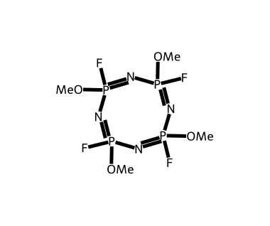 COP1(F)=NP(F)(OC)=NP(F)(OC)=NP(F)(OC)=N1